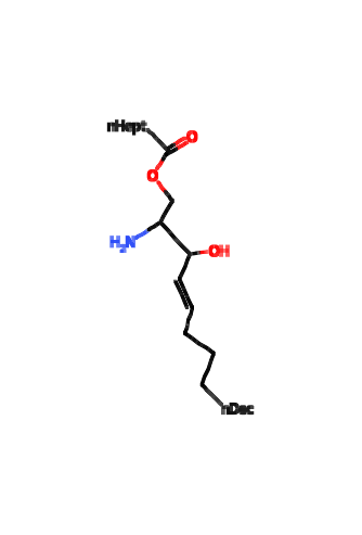 CCCCCCCCCCCCCC=CC(O)C(N)COC(=O)CCCCCCC